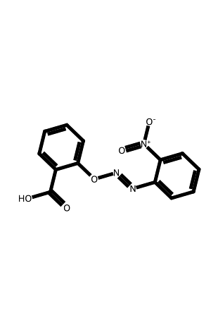 O=C(O)c1ccccc1ON=Nc1ccccc1[N+](=O)[O-]